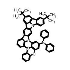 CC(C)(C)c1ccc2c(c1)c1cc(C(C)(C)C)cc3c4cc5c6cccc7c6n(c5cc4n2c13)-c1cc(N(c2ccccc2)c2ccccc2)cc2c1B7c1ccccc1O2